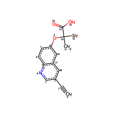 C#Cc1cnc2ccc(OC(C)(S)C(=O)O)cc2c1